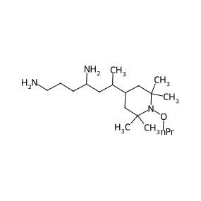 CCCON1C(C)(C)CC(C(C)CC(N)CCCN)CC1(C)C